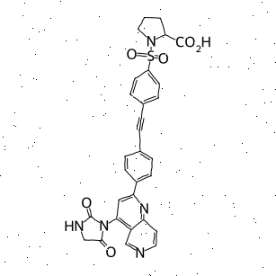 O=C(O)C1CCCN1S(=O)(=O)c1ccc(C#Cc2ccc(-c3cc(N4C(=O)CNC4=O)c4cnccc4n3)cc2)cc1